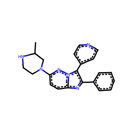 CC1CN(c2ccc3nc(-c4ccccc4)c(-c4ccncc4)n3n2)CCN1